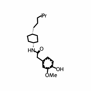 COc1cc(CC(=O)N[C@H]2CC[C@@H](CCCC(C)C)CC2)ccc1O